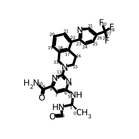 C[C@@H](NC=O)Nc1cc(C(N)=O)nc(N2CCc3c(cccc3-c3ccc(C(F)(F)F)cn3)C2)n1